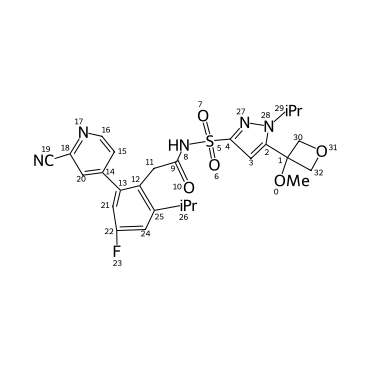 COC1(c2cc(S(=O)(=O)NC(=O)Cc3c(-c4ccnc(C#N)c4)cc(F)cc3C(C)C)nn2C(C)C)COC1